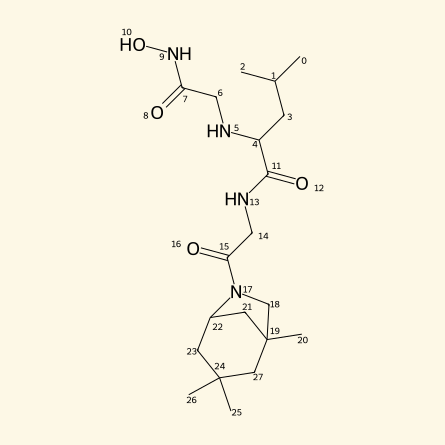 CC(C)CC(NCC(=O)NO)C(=O)NCC(=O)N1CC2(C)CC1CC(C)(C)C2